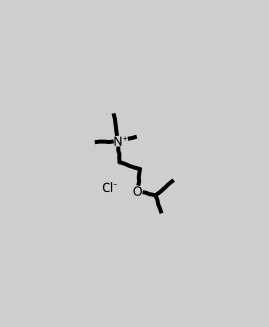 CC(C)OCC[N+](C)(C)C.[Cl-]